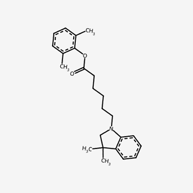 Cc1cccc(C)c1OC(=O)CCCCCN1CC(C)(C)c2ccccc21